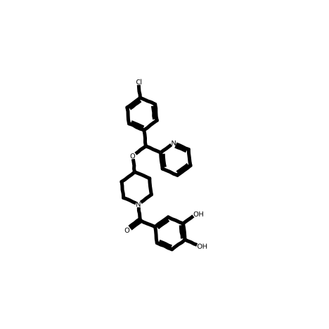 O=C(c1ccc(O)c(O)c1)N1CCC(OC(c2ccc(Cl)cc2)c2ccccn2)CC1